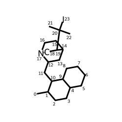 CC1CCC2CCCCC2C1CC1CC2CCN1CC2C(C)(C)I